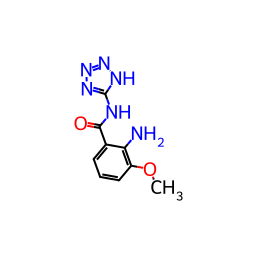 COc1cccc(C(=O)Nc2nnn[nH]2)c1N